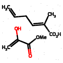 C=C(O)C(=O)OC.C=CCC=C(C)C(=O)O